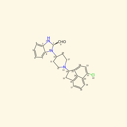 O=C[C@@H]1Nc2ccccc2N1C1CCN(C2Cc3cccc4c(Cl)ccc2c34)CC1